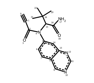 C#CC(=O)N(c1ccc2cncnc2c1)C(C(N)=O)C(C)(C)C